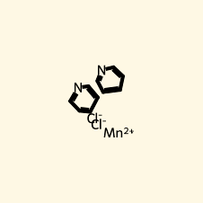 [Cl-].[Cl-].[Mn+2].c1ccncc1.c1ccncc1